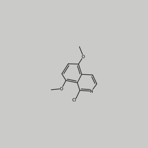 COc1ccc(OC)c2c(Cl)nccc12